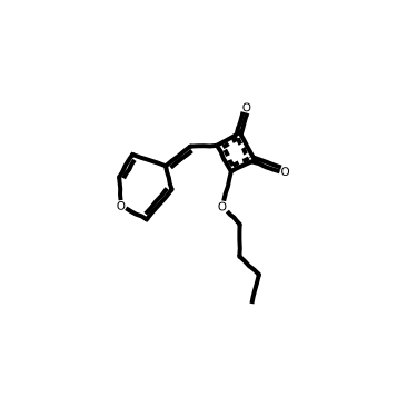 CCCCOc1c(C=C2C=COC=C2)c(=O)c1=O